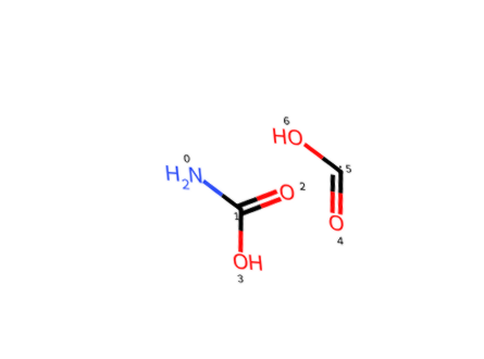 NC(=O)O.O=[C]O